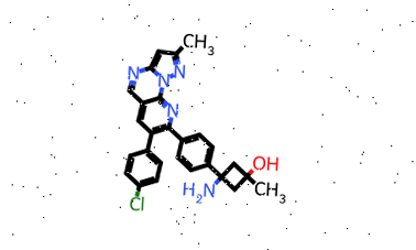 Cc1cc2ncc3cc(-c4ccc(Cl)cc4)c(-c4ccc(C5(N)CC(C)(O)C5)cc4)nc3n2n1